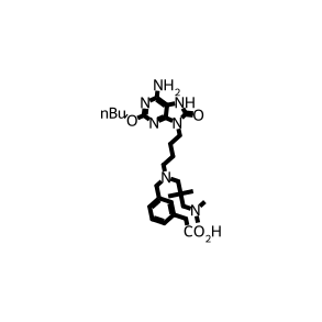 CCCCOc1nc(N)c2[nH]c(=O)n(CCCCN(Cc3cccc(CC(=O)O)c3)CC(C)(C)CN(C)C)c2n1